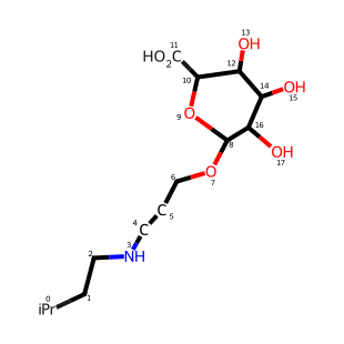 CC(C)CCNCCCOC1OC(C(=O)O)C(O)C(O)C1O